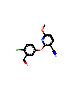 COc1ccc(C#N)c(Oc2ccc(Br)c(C=O)c2)n1